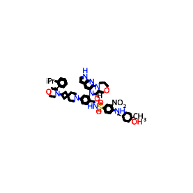 CC(C)c1ccccc1[C@@H]1COCCN1C1CC2(CCN(c3ccc(C(=O)NS(=O)(=O)c4ccc(NC[C@H]5CC[C@](C)(O)CC5)c([N+](=O)[O-])c4)c(N4C[C@H]5COCCCN5c5nc6[nH]ccc6cc54)c3)CC2)C1